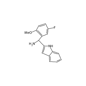 COc1ccc(F)cc1C(N)c1cc2ccccc2[nH]1